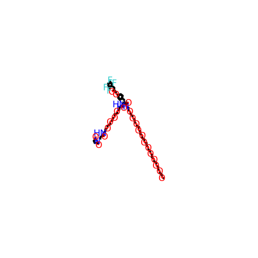 COCCOCCOCCOCCOCCOCCOCCOCCOCCOCCOCCOCCNC(=O)[C@H](Cc1ccc(OCC(=O)Cc2c(F)c(F)cc(F)c2F)cc1)NC(=O)CCOCCOCCOCCOCCNC(=O)CCN1C(=O)C=CC1=O